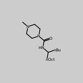 CCCCCCCCC(CCCC)NC(=O)N1CCN(C)CC1